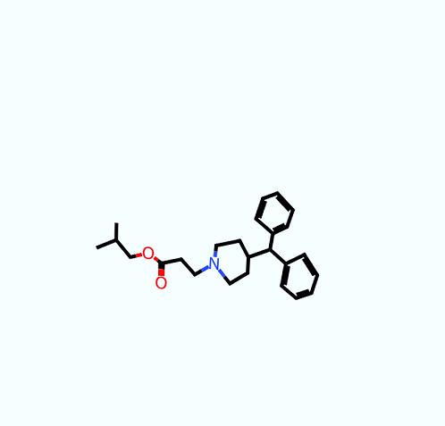 CC(C)COC(=O)CCN1CCC(C(c2ccccc2)c2ccccc2)CC1